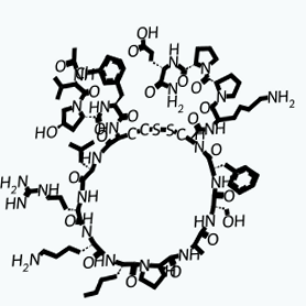 CCCC[C@@H]1NC(=O)[C@H](CCCCN)NC(=O)[C@H](CCCNC(=N)N)NC(=O)[C@H](CC(C)C)NC(=O)C(NC(=O)[C@H](Cc2cccc(Cl)c2)NC(=O)[C@@H]2C[C@@H](O)CN2C(=O)[C@@H](NC(C)=O)C(C)C)CCSSC[C@@H](C(=O)NC(CCCCN)C(=O)N2CCC[C@H]2C(=O)N2CCC[C@H]2C(=O)N[C@@H](CCC(=O)O)C(N)=O)NC(=O)[C@H](Cc2ccccc2)NC(=O)[C@H](CO)NC(=O)C(C)NC(=O)[C@@H]2CCCN2C1=O